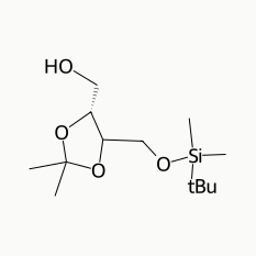 CC1(C)OC(CO[Si](C)(C)C(C)(C)C)[C@@H](CO)O1